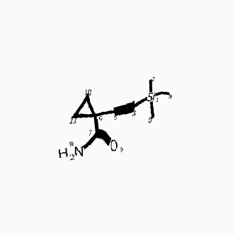 C[Si](C)(C)C#CC1(C(N)=O)CC1